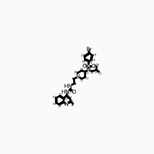 Cc1cc(NC(=O)NCCN2CCC(N(CC(C)C)S(=O)(=O)c3ccc(Br)cc3)CC2)c2ccccc2n1